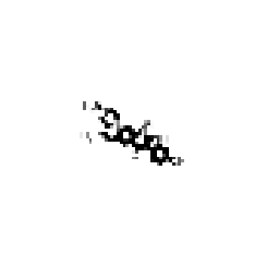 CC=Cc1cc2c(=O)c3c4ccc(C#N)cc4[nH]c3n(C(C)C)c2cc1N1CCN(C)CC1